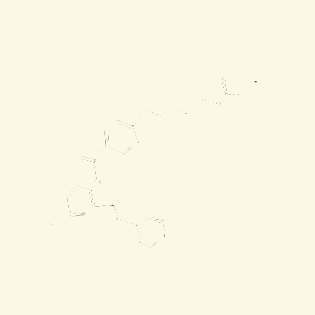 COc1ccc(NC(=O)c2ccc(OCCCCNC(=O)OC(C)(C)C)cc2)c(C(=O)Nc2ccccn2)c1